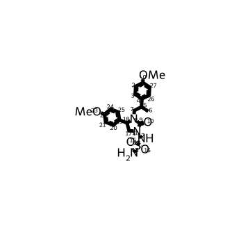 COc1ccc(C(C)CN2C(=O)N(NS(N)(=O)=O)CC2c2ccc(OC)cc2)cc1